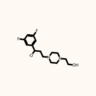 [O]C(CCN1CCN(CCO)CC1)c1cc(F)cc(F)c1